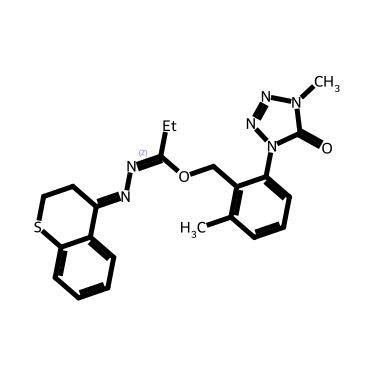 CC/C(=N/N=C1CCSc2ccccc21)OCc1c(C)cccc1-n1nnn(C)c1=O